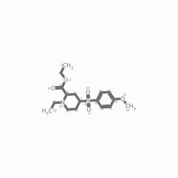 CCOC(=O)C1CC(S(=O)(=O)c2ccc(OC)cc2)CCN1CC